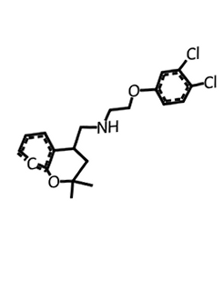 CC1(C)CC(CNCCOc2ccc(Cl)c(Cl)c2)c2ccccc2O1